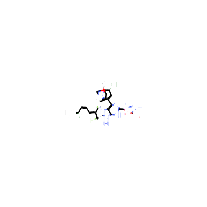 C=C(Cl)/C=C\C=C(/CF)C(C)(F)[C@@H]1N[C@@H]2NC(C3=NN[C@@H](O)O3)=NC(C3=C[C@H](Cl)CN=C3)=C2N1C[C@H]1CC[C@H](C)CC1